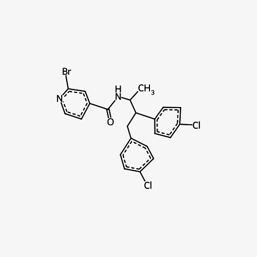 CC(NC(=O)c1ccnc(Br)c1)C(Cc1ccc(Cl)cc1)c1ccc(Cl)cc1